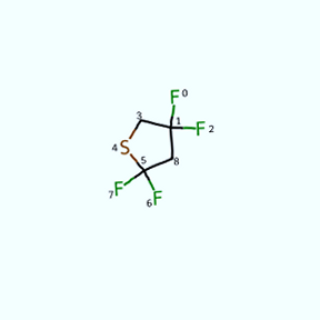 FC1(F)CSC(F)(F)C1